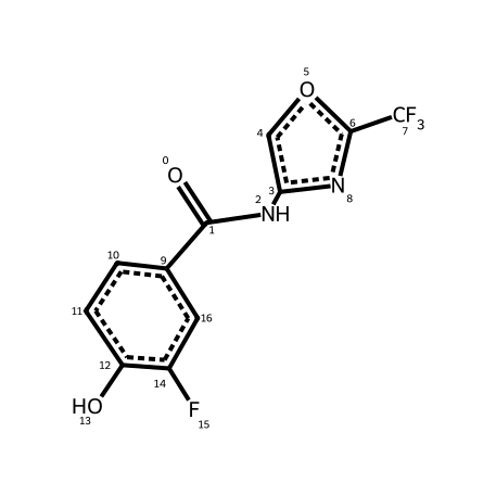 O=C(Nc1coc(C(F)(F)F)n1)c1ccc(O)c(F)c1